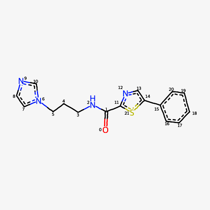 O=C(NCCCn1ccnc1)c1ncc(-c2ccccc2)s1